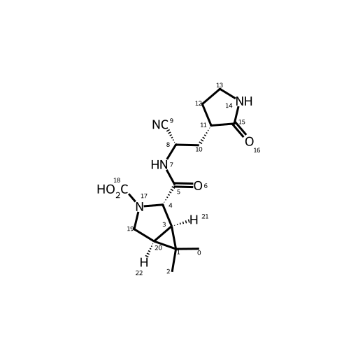 CC1(C)[C@@H]2[C@@H](C(=O)N[C@H](C#N)C[C@@H]3CCNC3=O)N(C(=O)O)C[C@@H]21